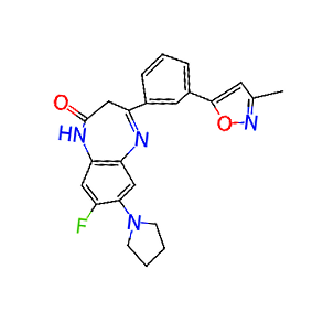 Cc1cc(-c2cccc(C3=Nc4cc(N5CCCC5)c(F)cc4NC(=O)C3)c2)on1